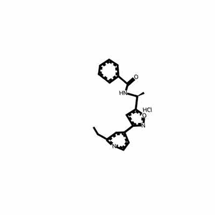 CCc1cc(-c2cc([C@H](C)NC(=O)c3ccccc3)on2)ccn1.Cl